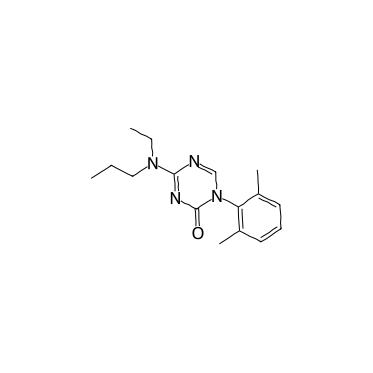 CCCN(CC)c1ncn(-c2c(C)cccc2C)c(=O)n1